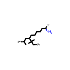 CCC(N)CCCCCC(CC(C)C(C)C)C(C)(C)CC(C)C